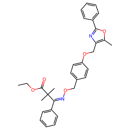 CCOC(=O)C(C)(C)C(=NOCc1ccc(OCc2nc(-c3ccccc3)oc2C)cc1)c1ccccc1